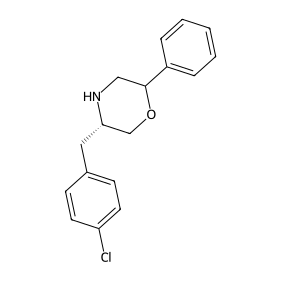 Clc1ccc(C[C@H]2COC(c3ccccc3)CN2)cc1